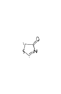 O=C1[C]S[C]=N1